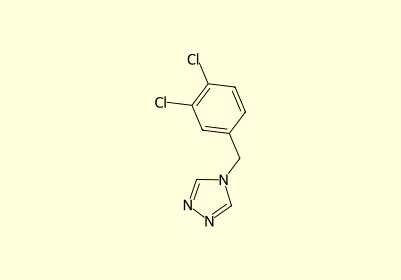 Clc1ccc(Cn2cnnc2)cc1Cl